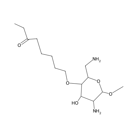 CCC(=O)CCCCCOC1C(CN)OC(OC)C(N)C1O